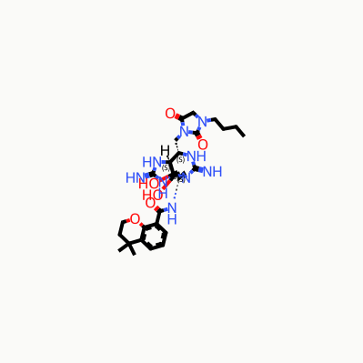 CCCCN1CC(=O)N(C[C@@H]2NC(=N)N3C[C@H](NC(=O)c4cccc5c4OCCC5(C)C)C(O)(O)[C@@]34NC(=N)N[C@@H]24)C1=O